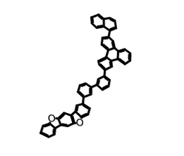 c1cc(-c2cccc(-c3ccc4c5ccc(-c6cccc7ccccc67)cc5c5ccccc5c4c3)c2)cc(-c2ccc3oc4cc5c(cc4c3c2)oc2ccccc25)c1